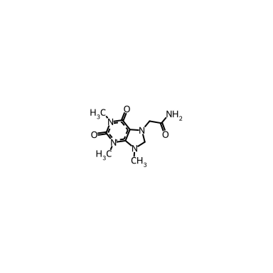 CN1CN(CC(N)=O)c2c1n(C)c(=O)n(C)c2=O